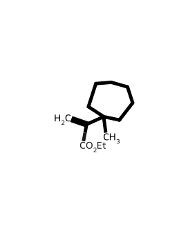 C=C(C(=O)OCC)C1(C)CCCCCC1